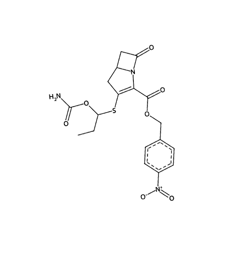 CCC(OC(N)=O)SC1=C(C(=O)OCc2ccc([N+](=O)[O-])cc2)N2C(=O)CC2C1